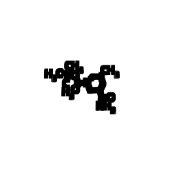 CC1CC(C(N)=O)CN(C(=O)OC(C)(C)C)C1